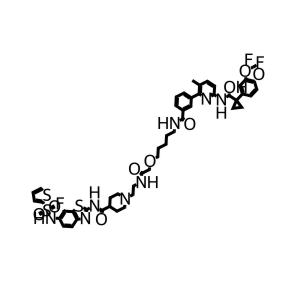 Cc1ccc(NC(O)C2(c3ccc4c(c3)OC(F)(F)O4)CC2)nc1-c1cccc(C(=O)NCCCCCOCC(=O)NCCN2CCC(C(=O)Nc3nc4ccc(NS(=O)(=O)c5cccs5)c(F)c4s3)CC2)c1